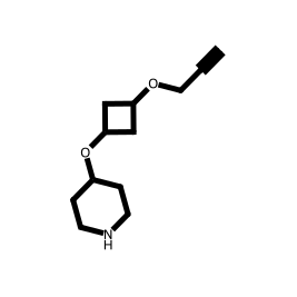 C#CCOC1CC(OC2CCNCC2)C1